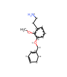 COc1c(CCN)cccc1OCC1=CC=CCC1